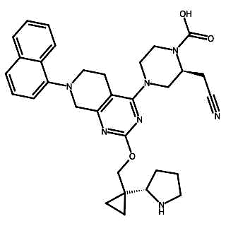 N#CC[C@H]1CN(c2nc(OCC3([C@@H]4CCCN4)CC3)nc3c2CCN(c2cccc4ccccc24)C3)CCN1C(=O)O